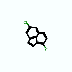 Clc1cc2c3c(c(Cl)ccc3c1)C=C2